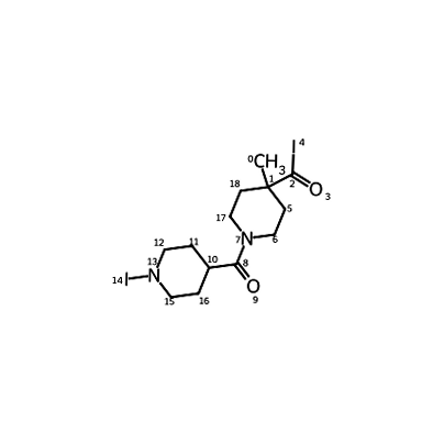 CC1(C(=O)I)CCN(C(=O)C2CCN(I)CC2)CC1